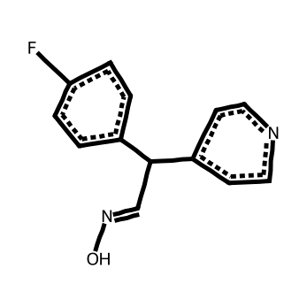 ON=CC(c1ccncc1)c1ccc(F)cc1